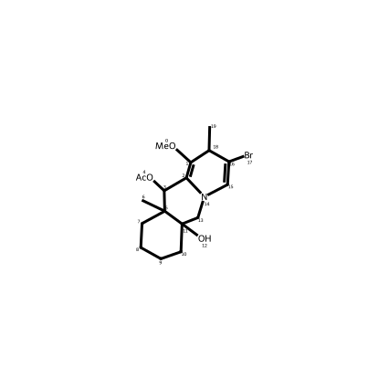 COC1=C2C(OC(C)=O)C3(C)CCCCC3(O)CN2C=C(Br)C1C